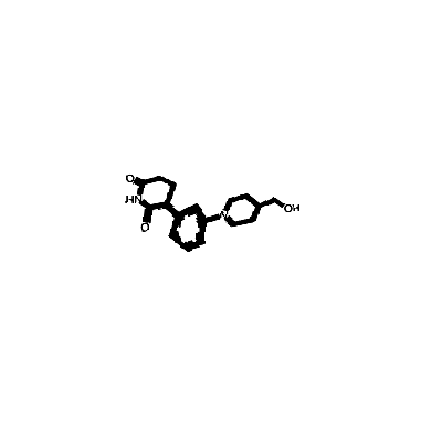 O=C1CCC(c2cccc(N3CCC(CO)CC3)c2)C(=O)N1